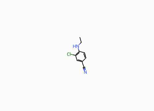 CCNc1ccc(C#N)cc1Cl